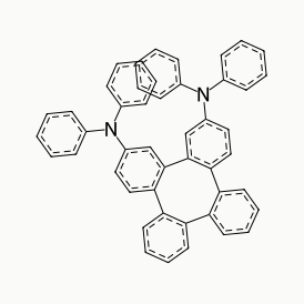 c1ccc(N(c2ccccc2)c2ccc3c(c2)-c2cc(N(c4ccccc4)c4ccccc4)ccc2-c2ccccc2-c2ccccc2-3)cc1